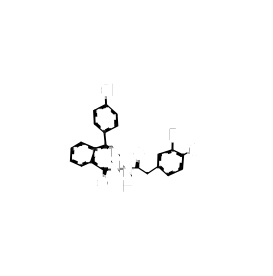 O=C(Cc1ccc(Cl)c(F)c1)Nn1nc(-c2ccc(Cl)cc2)c2ccccc2c1=O